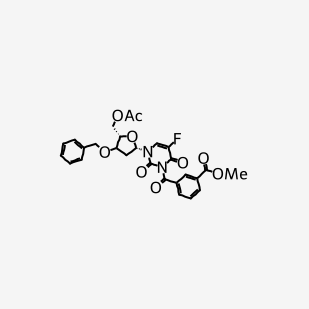 COC(=O)c1cccc(C(=O)n2c(=O)c(F)cn([C@@H]3CC(OCc4ccccc4)[C@H](COC(C)=O)O3)c2=O)c1